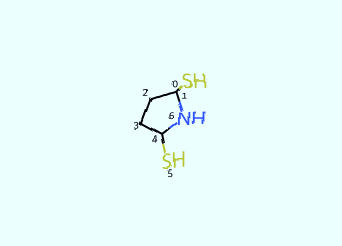 SC1CCC(S)N1